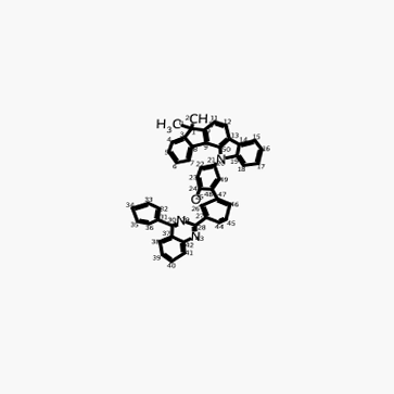 CC1(C)c2ccccc2-c2c1ccc1c3ccccc3n(-c3ccc4oc5c(-c6nc(-c7ccccc7)c7ccccc7n6)cccc5c4c3)c21